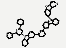 c1ccc(-c2cc(-n3c4ccccc4c4cc(-c5cccc(-c6ccc7c(c6)c6ccccc6n7-c6ccc7oc8ccncc8c7c6)n5)ccc43)cc(-c3ccccc3)n2)cc1